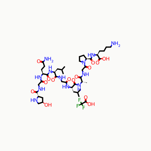 CC(C)C[C@H](NC(=O)CNC(=O)[C@H](CC(C)C)NC(=O)[C@H](CCC(N)=O)NC(=O)CNC(=O)[C@@H]1C[C@@H](O)CN1)C(=O)N[C@@H](C)C(=O)NCC(=O)N1CCC[C@H]1C(=O)N[C@@H](CCCCN)C(=O)O.O=C(O)C(F)(F)F